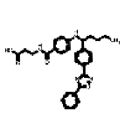 CCCCC(Nc1ccc(C(=O)NCCC(=O)O)cc1)c1ccc(-c2noc(-c3ccccc3)n2)cc1